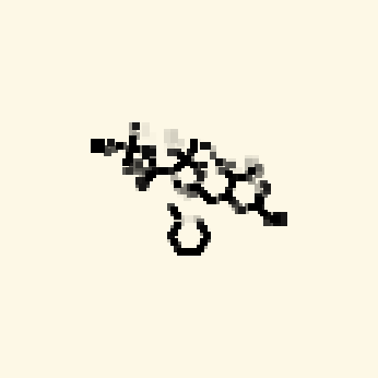 CC(C)C(CC(=O)O)C[C@@H]1OC(C)(C)N(C(=O)OC(C)(C)C)[C@H]1CC1CCCCC1